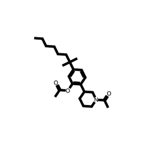 CCCCCCC(C)(C)c1ccc(C2CCCN(C(C)=O)C2)c(OC(C)=O)c1